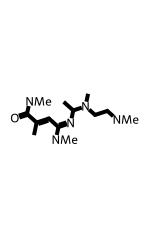 CNCCN(C)C(C)/N=C(\C=C(/C)C(=O)NC)NC